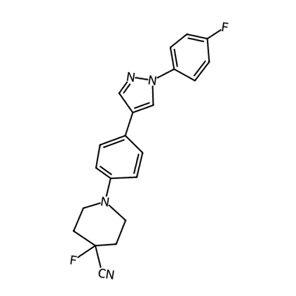 N#CC1(F)CCN(c2ccc(-c3cnn(-c4ccc(F)cc4)c3)cc2)CC1